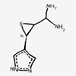 NC(N)C1S[C@@H]1c1cn[nH]c1